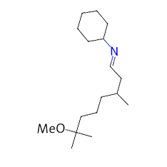 COC(C)(C)CCCC(C)CC=NC1CCCCC1